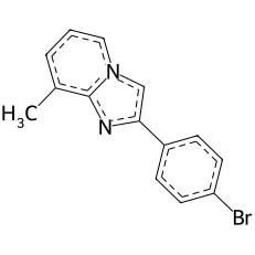 Cc1cccn2cc(-c3ccc(Br)cc3)nc12